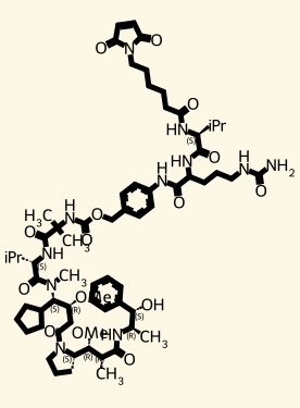 CO[C@H]([C@@H](C)C(=O)N[C@H](C)[C@@H](O)c1ccccc1)[C@@H]1CCCN1C(=O)C[C@@H](OC)[C@H](C1CCCC1)N(C)C(=O)[C@@H](NC(=O)C(C)(C)NC(=O)OCc1ccc(NC(=O)C(CCCNC(N)=O)NC(=O)[C@@H](NC(=O)CCCCCN2C(=O)C=CC2=O)C(C)C)cc1)C(C)C